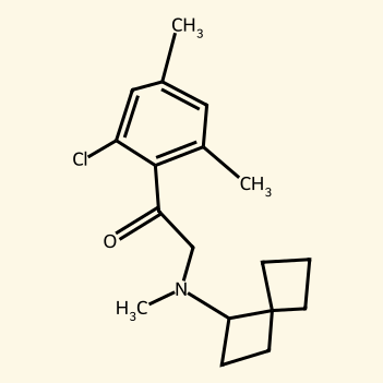 Cc1cc(C)c(C(=O)CN(C)C2CCC23CCC3)c(Cl)c1